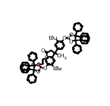 CC(=O)OCCOC(=O)CC(C)(c1ccc(OP2OC(c3ccccc3)(c3ccccc3)C(c3ccccc3)(c3ccccc3)O2)c(C(C)(C)C)c1)c1ccc(OP2OC(c3ccccc3)(c3ccccc3)C(c3ccccc3)(c3ccccc3)O2)c(C(C)(C)C)c1